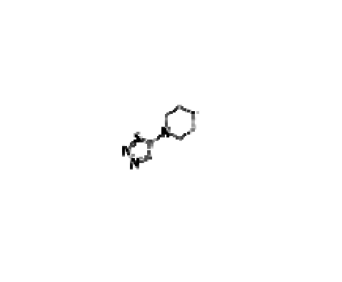 [CH]1CCN(c2cnns2)CC1